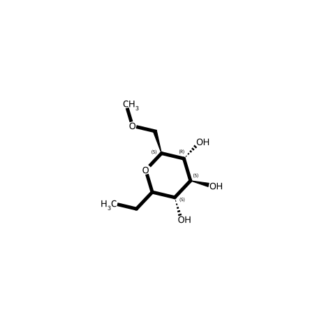 CCC1O[C@@H](COC)[C@H](O)[C@@H](O)[C@@H]1O